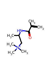 C=C(C)C(=O)NC(C)C[N+](C)(C)C